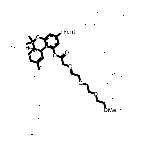 CCCCCc1cc(OC(=O)COCCOCCOCCOC)c2c(c1)OC(C)(C)[C@@H]1CCC(C)=CC21